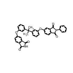 CC(C)(c1cccc(Oc2ccc3c(c2)C(=O)NC3=O)c1)c1cccc(Oc2ccc3c(c2)C(=O)N(c2ccccc2)C3=O)c1